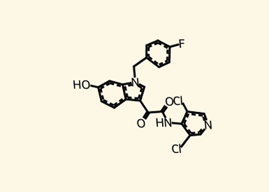 O=C(Nc1c(Cl)cncc1Cl)C(=O)c1cn(Cc2ccc(F)cc2)c2cc(O)ccc12